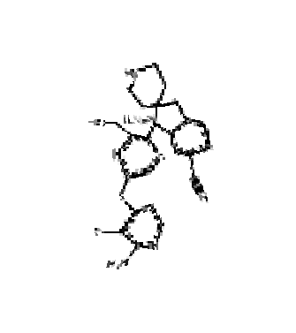 N#Cc1ccc2c(c1)[C@](N)(c1ncc(Sc3ccnc(N)c3Cl)nc1CO)C1(CCNCC1)C2